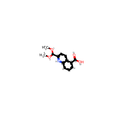 COC(OC)c1ccc2c(C(=O)O)cccc2n1